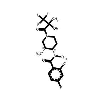 C[C@@H]1CN(C(=O)C(C)(O)C(F)(F)F)CC[C@@H]1N(C)C(=O)c1ccc(F)cc1Cl